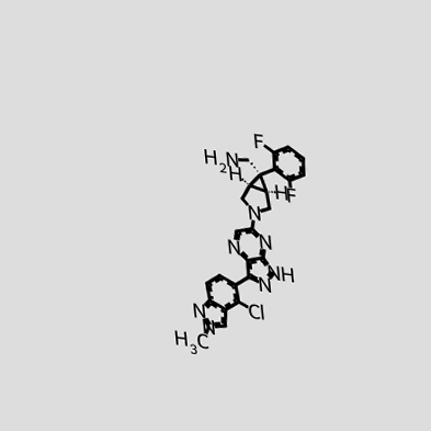 Cn1cc2c(Cl)c(-c3n[nH]c4nc(N5C[C@@H]6[C@H](C5)[C@]6(CN)c5c(F)cccc5F)cnc34)ccc2n1